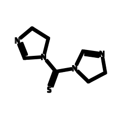 S=C(N1C=NCC1)N1C=NCC1